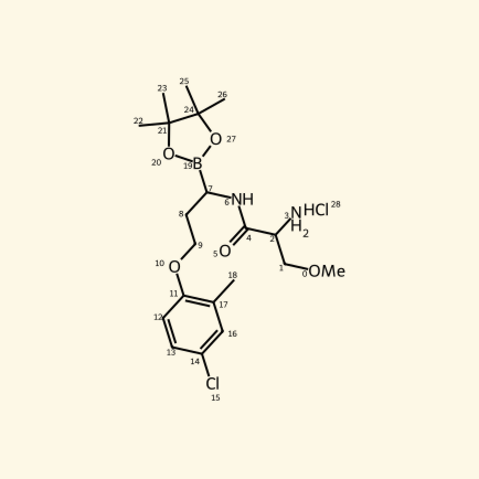 COCC(N)C(=O)NC(CCOc1ccc(Cl)cc1C)B1OC(C)(C)C(C)(C)O1.Cl